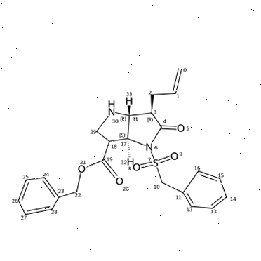 C=CC[C@H]1C(=O)N(S(=O)(=O)Cc2ccccc2)[C@H]2C(C(=O)OCc3ccccc3)CN[C@H]12